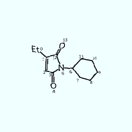 CCC1=CC(=O)N(C2CCCCC2)C1=O